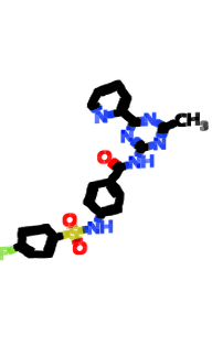 Cc1nc(NC(=O)c2ccc(NS(=O)(=O)c3ccc(F)cc3)cc2)nc(-c2ccccn2)n1